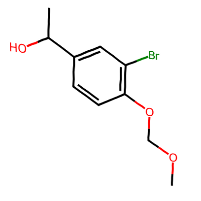 COCOc1ccc(C(C)O)cc1Br